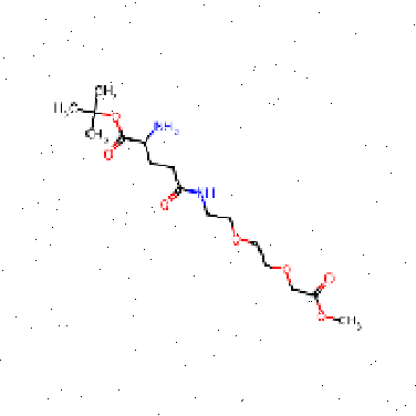 COC(=O)COCCOCCNC(=O)CCC(N)C(=O)OC(C)(C)C